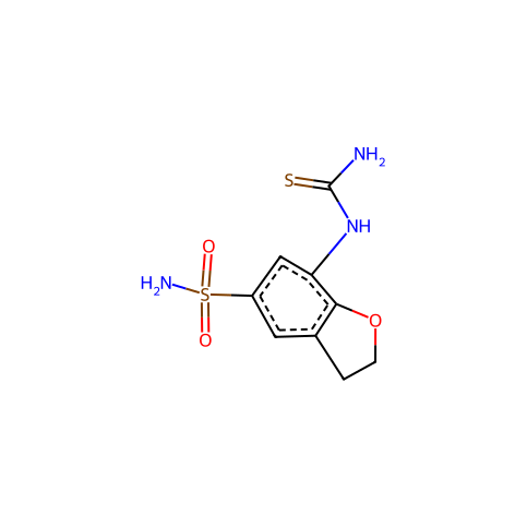 NC(=S)Nc1cc(S(N)(=O)=O)cc2c1OCC2